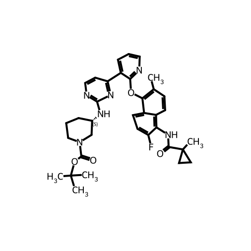 Cc1ccc2c(NC(=O)C3(C)CC3)c(F)ccc2c1Oc1ncccc1-c1ccnc(N[C@H]2CCCN(C(=O)OC(C)(C)C)C2)n1